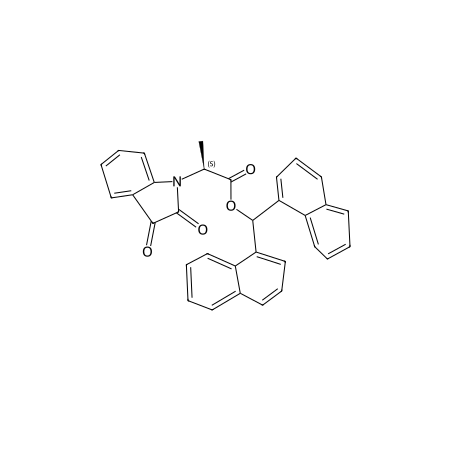 C[C@@H](C(=O)OC(c1cccc2ccccc12)c1cccc2ccccc12)N1C(=O)C(=O)c2ccccc21